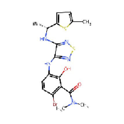 Cc1ccc([C@H](Nc2nsnc2Nc2ccc(Br)c(C(=O)N(C)C)c2O)C(C)(C)C)s1